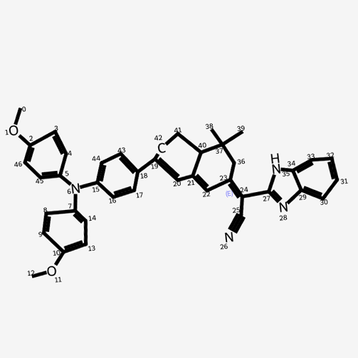 COc1ccc(N(c2ccc(OC)cc2)c2ccc(C3=CC4=C/C(=C(\C#N)c5nc6ccccc6[nH]5)CC(C)(C)C4CC3)cc2)cc1